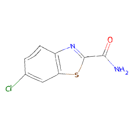 NC(=O)c1nc2ccc(Cl)cc2s1